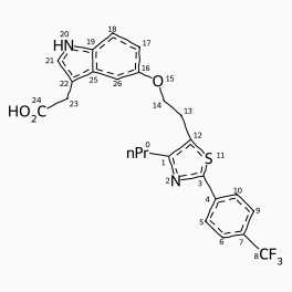 CCCc1nc(-c2ccc(C(F)(F)F)cc2)sc1CCOc1ccc2[nH]cc(CC(=O)O)c2c1